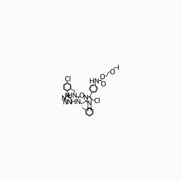 O=C(NCc1cc(Cl)ccc1-n1cnnn1)N[C@@H](Cc1ccccc1)c1nc(-c2ccc(NC(=O)OCCOCI)cc2)c(Cl)[nH]1